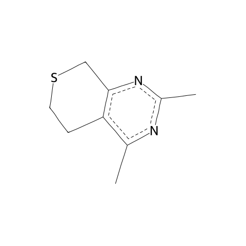 Cc1nc(C)c2c(n1)CSCC2